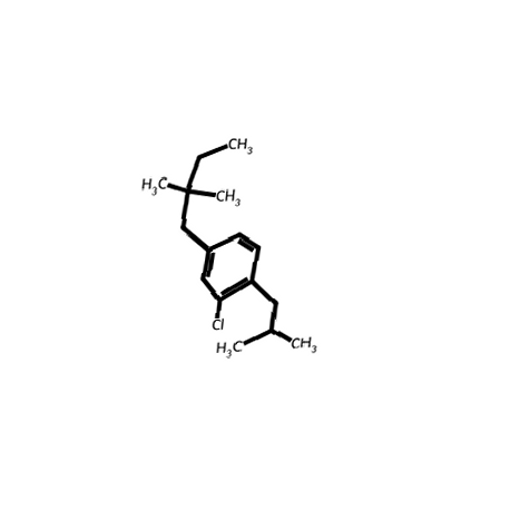 CCC(C)(C)Cc1ccc(CC(C)C)c(Cl)c1